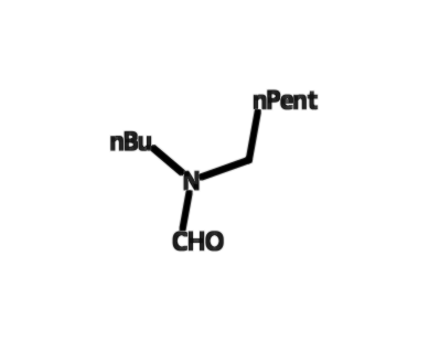 CCCCCCN(C=O)CCCC